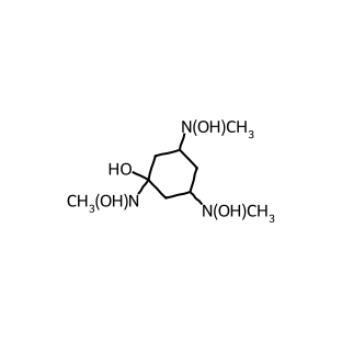 CN(O)C1CC(N(C)O)CC(O)(N(C)O)C1